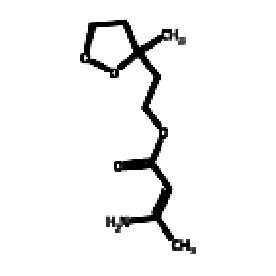 C/C(N)=C/C(=O)OCCC1(C)CCOO1